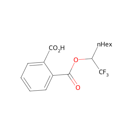 CCCCCCC(OC(=O)c1ccccc1C(=O)O)C(F)(F)F